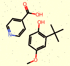 COc1ccc(O)c(C(C)(C)C)c1.O=C(O)c1ccncc1